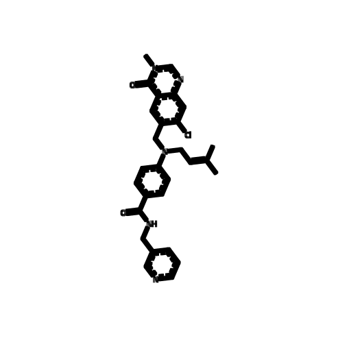 CC(C)=CCN(Cc1cc2c(=O)n(C)cnc2cc1Cl)c1ccc(C(=O)NCc2cccnc2)cc1